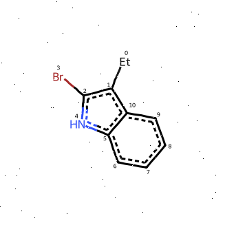 CCc1c(Br)[nH]c2ccccc12